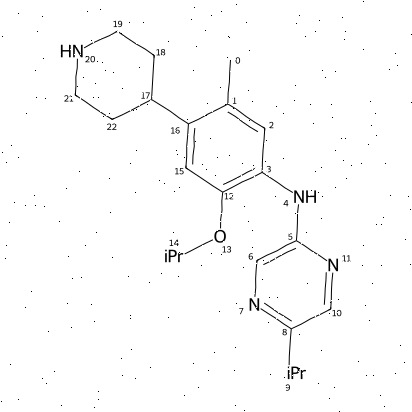 Cc1cc(Nc2cnc(C(C)C)cn2)c(OC(C)C)cc1C1CCNCC1